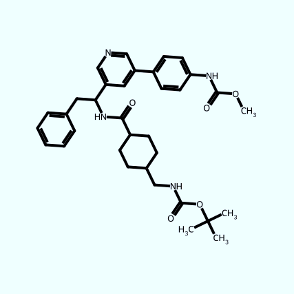 COC(=O)Nc1ccc(-c2cncc(C(Cc3ccccc3)NC(=O)C3CCC(CNC(=O)OC(C)(C)C)CC3)c2)cc1